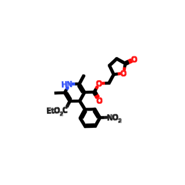 CCOC(=O)C1=C(C)NC(C)=C(C(=O)OCC2CCC(=O)O2)C1c1cccc([N+](=O)[O-])c1